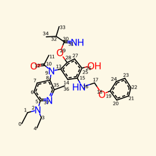 CCN(CC)c1ccc(N(C(C)=O)c2cc(NCOc3ccccc3)c(O)cc2OC(=N)C(C)C)c(C)n1